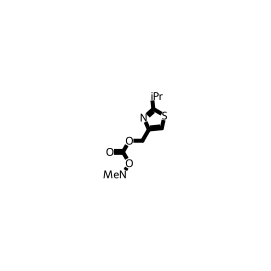 CNOC(=O)OCc1csc(C(C)C)n1